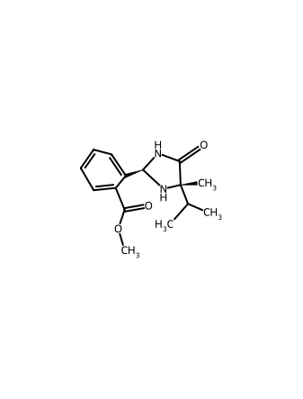 COC(=O)c1ccccc1[C@H]1NC(=O)[C@](C)(C(C)C)N1